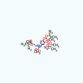 COC(=O)[C@H](Cc1ccc(OC(=O)OC(C)C(C)C)c(OC(=O)OC(C)C(C)C)c1)NCCOC(=O)C(C)(C)C